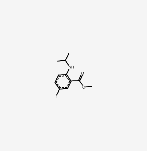 COC(=O)c1cc(I)ccc1NC(C)C